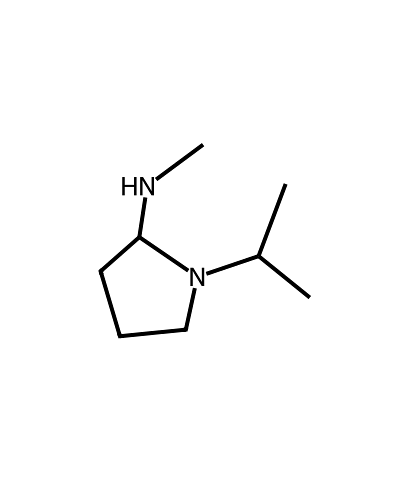 CNC1CCCN1C(C)C